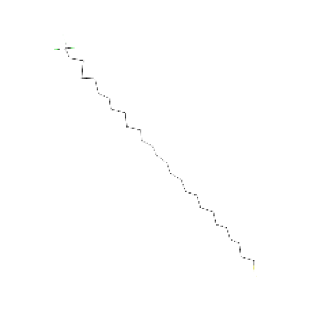 SCCCCCCCCCCCCCCCCCCCCCCCCCC[Si](Cl)(Cl)Cl